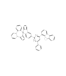 C1=CC2c3ccccc3C3(c4ccccc4-c4cc(-c5nc(-c6ccccc6)cc(-c6cccc7c6oc6ccccc67)n5)ccc43)c3ccccc3C2C=C1